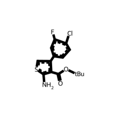 CC(C)(C)OC(=O)c1c(-c2ccc(Cl)c(F)c2)csc1N